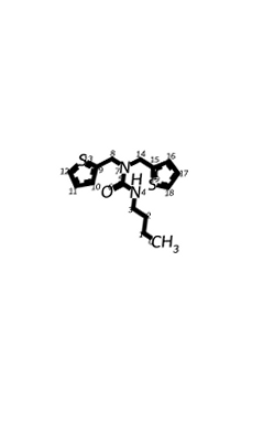 CCCCNC(=O)N(Cc1cccs1)Cc1cccs1